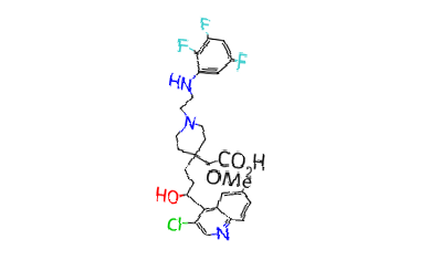 COc1ccc2ncc(Cl)c([C@@H](O)CCC3(CC(=O)O)CCN(CCNc4cc(F)cc(F)c4F)CC3)c2c1